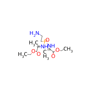 CCOC(=O)[C@H](C)NP(=O)(CCN)N[C@@H](C)C(=O)OCC